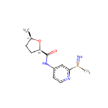 C[C@@H]1CC[C@H](C(=O)Nc2ccnc(S(C)=N)c2)O1